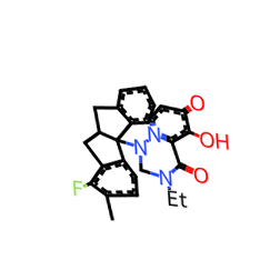 CCN1CN(C23c4ccccc4CC2Cc2c3ccc(C)c2F)n2ccc(=O)c(O)c2C1=O